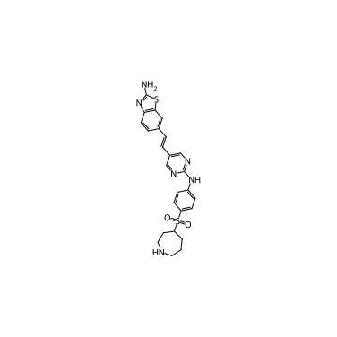 Nc1nc2ccc(/C=C/c3cnc(Nc4ccc(S(=O)(=O)C5CCCNCC5)cc4)nc3)cc2s1